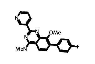 CNc1nc(-c2cccnc2)nc2c(OC)c(-c3ccc(F)cc3)ccc12